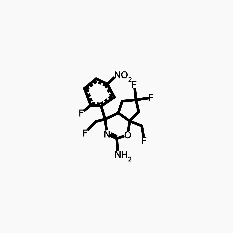 NC1=NC(CF)(c2cc([N+](=O)[O-])ccc2F)C2CC(F)(F)CC2(CF)O1